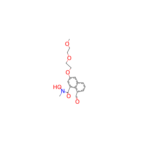 COCCOCCOc1cc(C(=O)N(C)O)c2c(C=O)cccc2c1